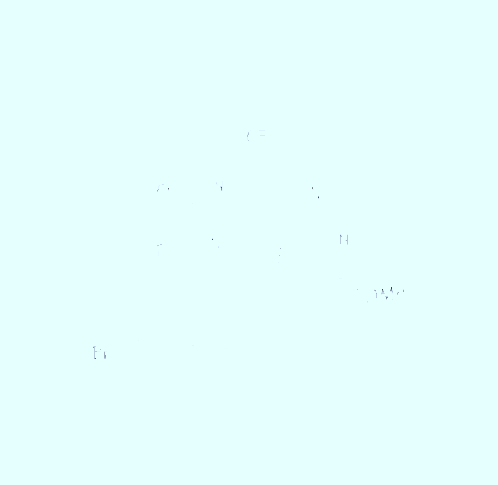 COc1ccc2c3c(cnc2n1)N(CC(F)(F)F)C(=O)CN3Cc1c(F)cc(Br)cc1F